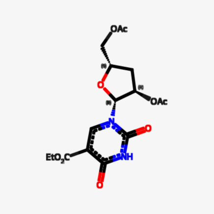 CCOC(=O)c1cn([C@@H]2O[C@H](COC(C)=O)C[C@H]2OC(C)=O)c(=O)[nH]c1=O